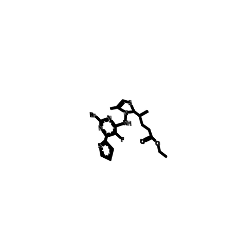 CCOC(=O)CCC(C)C1SC=C(C)N1Nc1nc(Br)nc(-c2cccs2)c1F